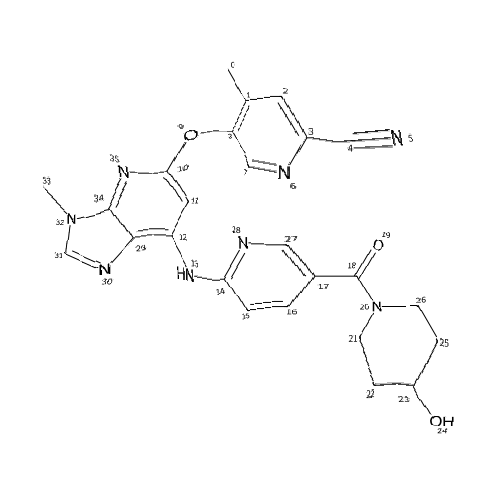 Cc1cc(C#N)ncc1Oc1cc(Nc2ccc(C(=O)N3CCC(O)CC3)cn2)c2ncn(C)c2n1